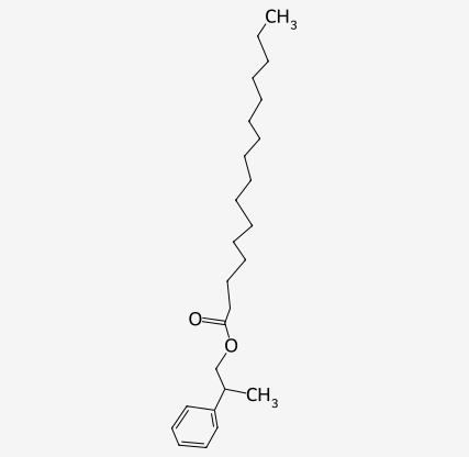 CCCCCCCCCCCCCCCC(=O)OCC(C)c1ccccc1